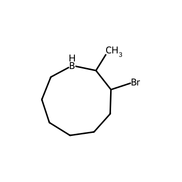 CC1BCCCCCCC1Br